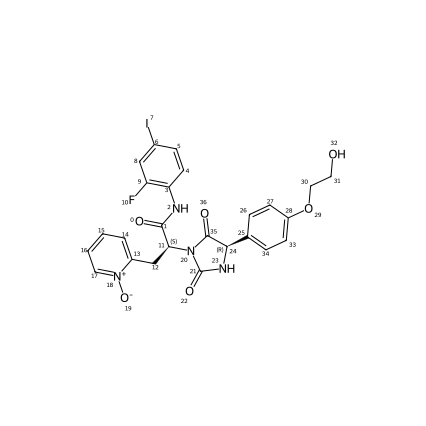 O=C(Nc1ccc(I)cc1F)[C@H](Cc1cccc[n+]1[O-])N1C(=O)N[C@H](c2ccc(OCCO)cc2)C1=O